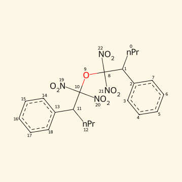 CCCC(c1ccccc1)C(OC(C(CCC)c1ccccc1)([N+](=O)[O-])[N+](=O)[O-])([N+](=O)[O-])[N+](=O)[O-]